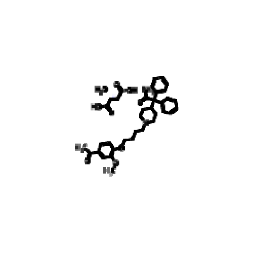 COc1cc(C(C)=O)ccc1OCCCCN1CCC(C(C(N)=O)(c2ccccc2)c2ccccc2)CC1.O.O=C(O)/C=C/C(=O)O